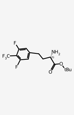 CC(C)(C)OC(=O)[C@@H](N)CCc1cc(F)c(C(F)(F)F)c(F)c1